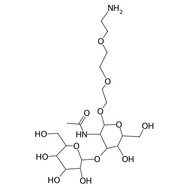 CC(=O)NC1C(OCCOCCOCCN)OC(CO)C(O)C1OC1OC(CO)C(O)C(O)C1O